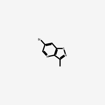 Cc1nsc2cc(Br)cnc12